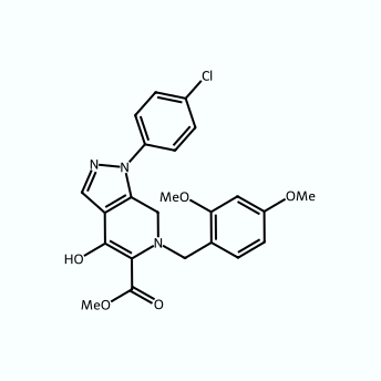 COC(=O)C1=C(O)c2cnn(-c3ccc(Cl)cc3)c2CN1Cc1ccc(OC)cc1OC